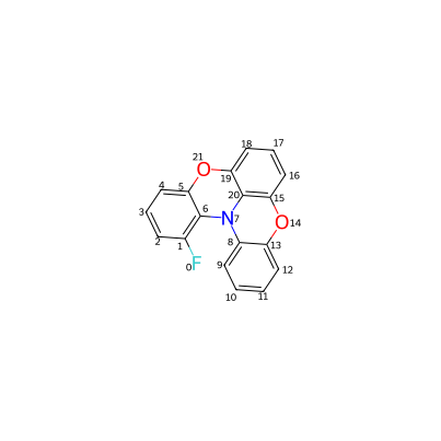 Fc1cccc2c1N1c3ccccc3Oc3cccc(c31)O2